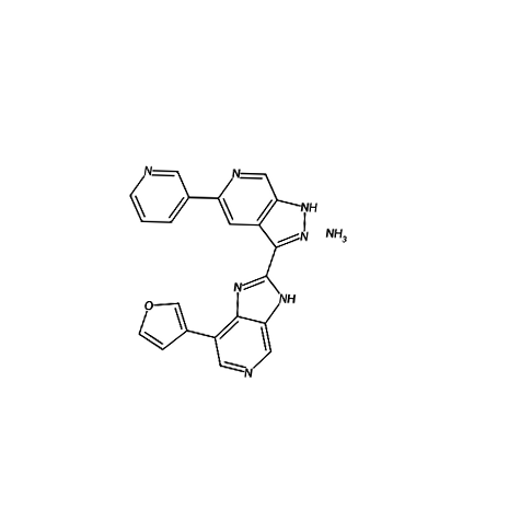 N.c1cncc(-c2cc3c(-c4nc5c(-c6ccoc6)cncc5[nH]4)n[nH]c3cn2)c1